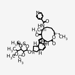 CC[C@H]1CCC[C@H](NC(=O)c2ccncc2)[C@@H](C)C(=O)C2=C[C@@H]3[C@@H](C=C[C@@H]4C[C@@H](OC(OC)C(OC)C(OC)C(C)OC)C[C@@H]34)[C@@H]2CC(=O)O1